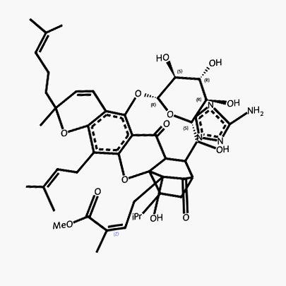 COC(=O)/C(C)=C\CC1(O)C(=O)C2CC(C(C)C)C13Oc1c(CC=C(C)C)c4c(c(O[C@H]5O[C@@H](CO)[C@H](O)[C@@H](O)[C@@H]5O)c1C(=O)C3C2n1cnc(N)n1)C=CC(C)(CCC=C(C)C)O4